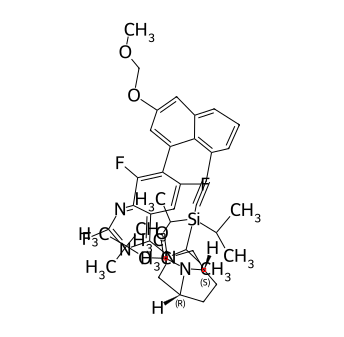 COCOc1cc(-c2c(F)cc3c(N4C[C@H]5CC[C@@H](C4)N5C(=O)OC(C)(C)C)nc(F)nc3c2F)c2c(C#C[Si](C(C)C)(C(C)C)C(C)C)cccc2c1